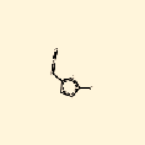 O=C=Nc1ccc(Cl)s1